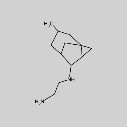 CC1CC2CC3(C1)CC3C2NCCN